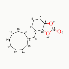 O=C1OC2CCCC(CC3CCCCCCCC3)C2O1